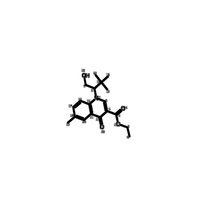 CCOC(=O)c1cn(C(CO)C(C)(C)C)c2ccc(C)cc2c1=O